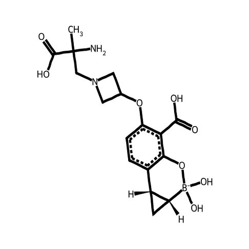 CC(N)(CN1CC(Oc2ccc3c(c2C(=O)O)O[B-](O)(O)[C@@H]2C[C@H]32)C1)C(=O)O